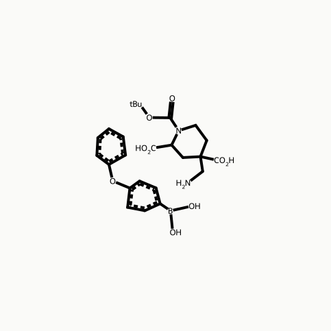 CC(C)(C)OC(=O)N1CCC(CN)(C(=O)O)CC1C(=O)O.OB(O)c1ccc(Oc2ccccc2)cc1